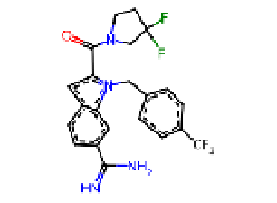 N=C(N)c1ccc2cc(C(=O)N3CCC(F)(F)C3)n(Cc3ccc(C(F)(F)F)cc3)c2c1